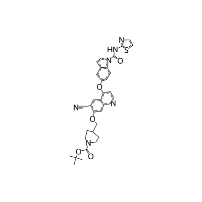 CC(C)(C)OC(=O)N1CCC(COc2cc3nccc(Oc4ccc5c(ccn5C(=O)Nc5nccs5)c4)c3cc2C#N)CC1